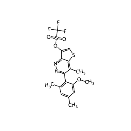 COc1cc(C)cc(C)c1-c1nnc2c(OS(=O)(=O)C(F)(F)F)csc2c1C